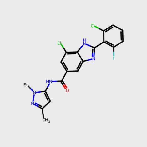 CCn1nc(C)cc1NC(=O)c1cc(Cl)c2[nH]c(-c3c(F)cccc3Cl)nc2c1